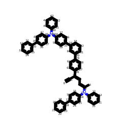 C#C/C(=C\C=C(/C)N(c1ccccc1)c1ccc(-c2ccccc2)cc1)c1ccc(-c2cccc(-c3ccc(N(c4ccccc4)c4ccc(-c5ccccc5)cc4)cc3)c2)cc1